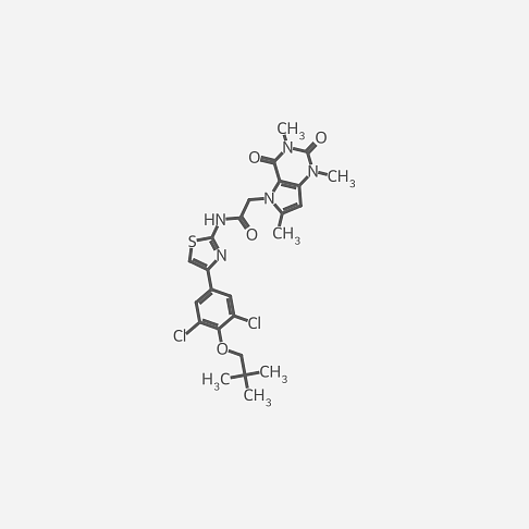 Cc1cc2c(c(=O)n(C)c(=O)n2C)n1CC(=O)Nc1nc(-c2cc(Cl)c(OCC(C)(C)C)c(Cl)c2)cs1